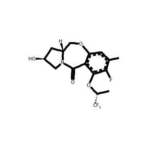 Cc1cc2c(c(O[C@H](C)C(F)(F)F)c1F)C(=O)N1C[C@@H](O)C[C@@H]1CO2